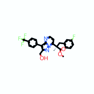 COC(=O)[C@](C)(Cc1cccc(F)c1)c1ccnc2c(-c3ccc(C(F)(F)F)cc3)c(CO)nn12